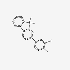 Cc1ccc(-c2ccc3c(c2)C(C)(C)c2ccccc2-3)cc1I